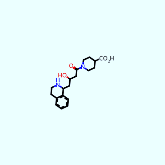 O=C(O)C1CCN(C(=O)CC(O)CC2NCCc3ccccc32)CC1